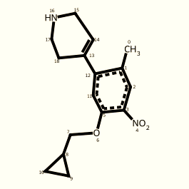 Cc1cc([N+](=O)[O-])c(OCC2CC2)cc1C1=CCNCC1